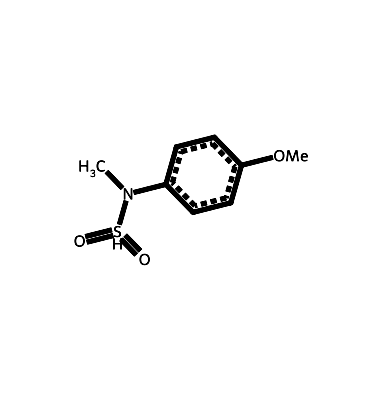 COc1ccc(N(C)[SH](=O)=O)cc1